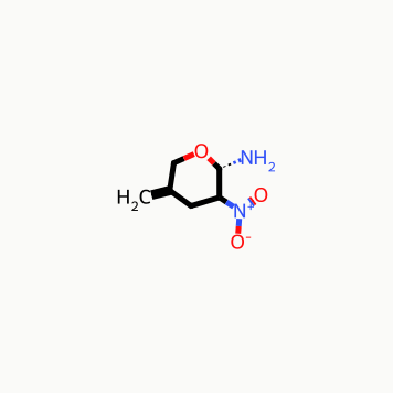 C=C1CO[C@H](N)C([N+](=O)[O-])C1